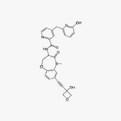 CN1C(=O)C(NC(=O)c2cc(Cc3cccc(O)n3)ccn2)COc2ccc(C#CC3(O)COC3)cc21